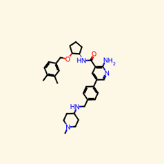 Cc1ccc(CO[C@H]2CCC[C@@H]2NC(=O)c2cc(-c3ccc(CNC4CCN(C)CC4)cc3)cnc2N)cc1C